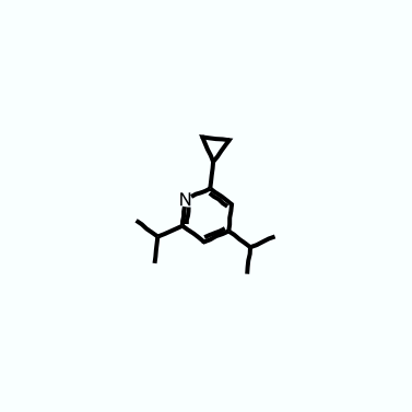 CC(C)c1cc(C(C)C)nc(C2CC2)c1